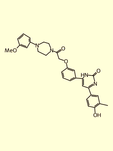 COc1cccc(N2CCN(C(=O)COc3cccc(-c4cc(-c5ccc(O)c(C)c5)nc(=O)[nH]4)c3)CC2)c1